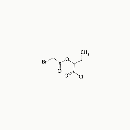 CCC(OC(=O)CBr)C(=O)Cl